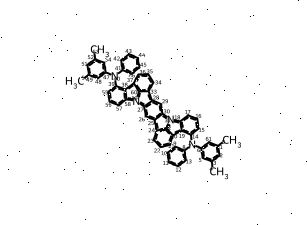 Cc1cc(C)cc(N(c2ccccc2)c2cccc3c2c2cccc4c5cc6c(cc5n3c42)c2cccc3c4c(N(c5ccccc5)c5cc(C)cc(C)c5)cccc4n6c23)c1